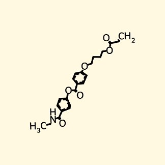 C=CC(=O)OCCCCOc1ccc(C(=O)Oc2ccc(C(=O)NCC)cc2)cc1